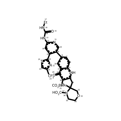 CCCCC1(Cc2[nH]c3ccc(-c4cnc(NC(=O)NCC)cc4-c4nc(C(F)(F)F)cs4)cc3c(=O)c2C(=O)OCC)COCCN1C(=O)O